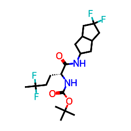 CC(F)(F)CC[C@@H](NC(=O)OC(C)(C)C)C(=O)NC1CC2CC(F)(F)CC2C1